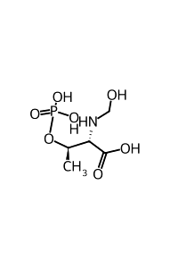 C[C@@H](OP(=O)(O)O)[C@H](NCO)C(=O)O